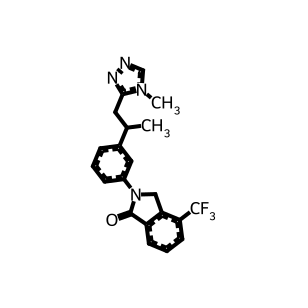 CC(Cc1nncn1C)c1cccc(N2Cc3c(cccc3C(F)(F)F)C2=O)c1